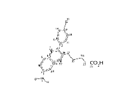 C=C(C)c1ccc2nc(-c3ccc(F)cc3)c(CCCCC(=O)O)nc2c1